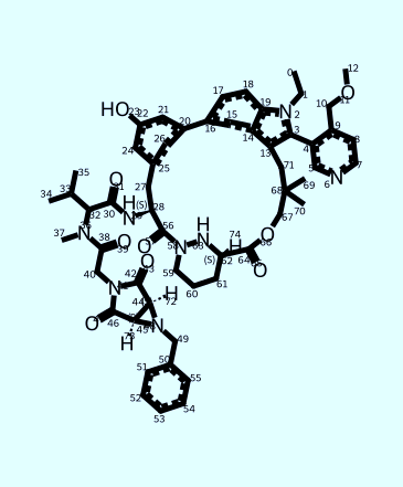 CCn1c(-c2cnccc2COC)c2c3cc(ccc31)-c1cc(O)cc(c1)C[C@H](NC(=O)C(C(C)C)N(C)C(=O)CN1C(=O)[C@@H]3[C@H](C1=O)N3Cc1ccccc1)C(=O)N1CCC[C@H](N1)C(=O)OCC(C)(C)C2